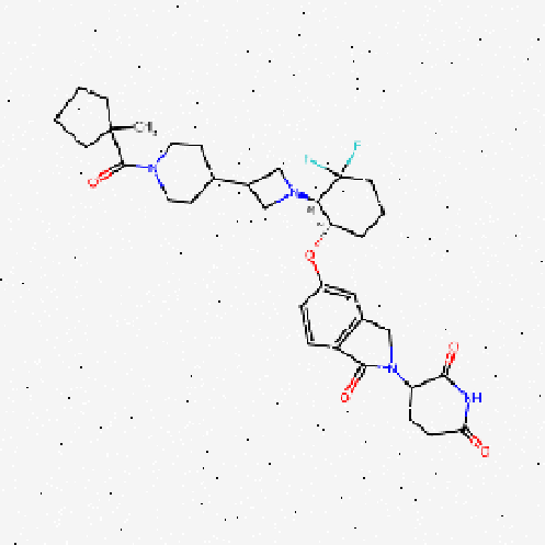 CC1(C(=O)N2CCC(C3CN([C@@H]4[C@@H](Oc5ccc6c(c5)CN(C5CCC(=O)NC5=O)C6=O)CCCC4(F)F)C3)CC2)CCCC1